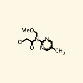 COCN(C(=O)CCl)c1ncc(C)cn1